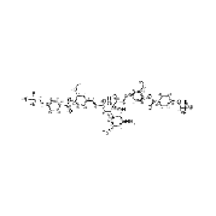 COc1cc(/C=C/C(=O)CC(c2cc(N)cc(N)c2)C(O)(O)C(=O)/C=C/c2ccc(OC(=O)c3ccc(OCC(F)(F)F)cc3)c(OC)c2)ccc1OC(=O)c1ccc(OCC(F)(F)F)cc1